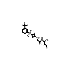 C=C(CN[C@H]1C[C@@H](S(=C)(=O)C2=CC(C(F)(F)F)=CCC2)C1)NC(C)CCC